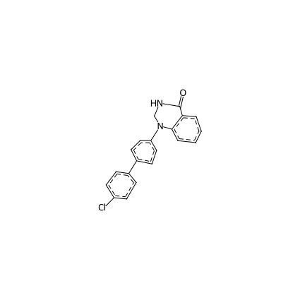 O=C1NCN(c2ccc(-c3ccc(Cl)cc3)cc2)c2ccccc21